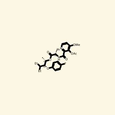 CCC(CC)[C@@H](Oc1ccc(F)cc1)[C@H](C)OC(=O)[C@@H](NC(=O)c1nccc(OC)c1OC(C)=O)C(C)C